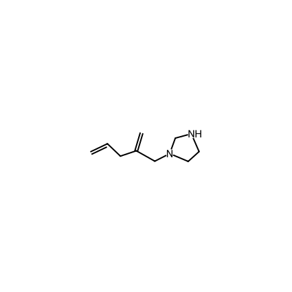 C=CCC(=C)CN1CCNC1